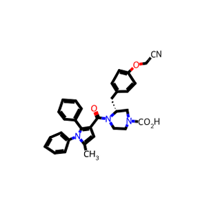 Cc1cc(C(=O)N2CCN(C(=O)O)C[C@H]2Cc2ccc(OCC#N)cc2)c(-c2ccccc2)n1-c1ccccc1